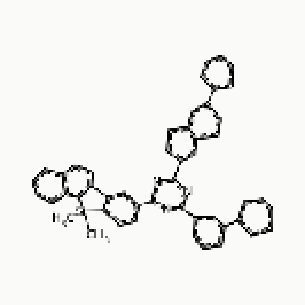 C[Si]1(C)c2ccc(-c3nc(-c4cccc(-c5ccccc5)c4)nc(-c4ccc5cc(-c6ccccc6)ccc5c4)n3)cc2-c2ccc3ccccc3c21